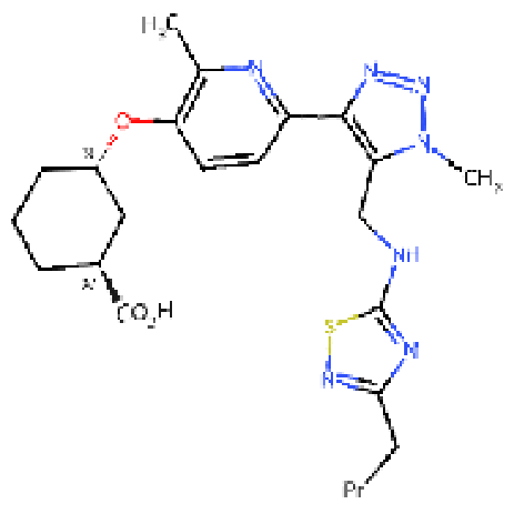 Cc1nc(-c2nnn(C)c2CNc2nc(CC(C)C)ns2)ccc1O[C@H]1CCC[C@H](C(=O)O)C1